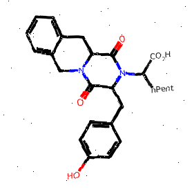 CCCCCC(C(=O)O)N1C(=O)C2Cc3ccccc3CN2C(=O)C1Cc1ccc(O)cc1